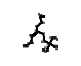 CC(C)(C)O/N=C(/CSC(C)(C)C)CSS(C)(C)S